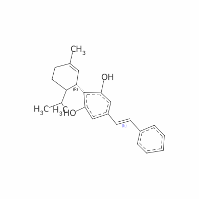 CC1=C[C@H](c2c(O)cc(/C=C/c3ccccc3)cc2O)C(C(C)C)CC1